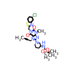 CC#CCn1c(N2CCC[C@@H](NC(=O)OC(C)(C)C)C2)nc2c1c(=O)n(Cc1nc3cc(Cl)ccc3s1)c(=O)n2C